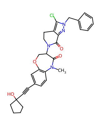 CN1C(=O)C(N2CCc3c(nn(Cc4ccccc4)c3Cl)C2=O)COc2cc(C#CC3(O)CCCC3)ccc21